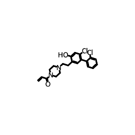 C=CC(=O)N1CCN(CCc2cc(-c3ccccc3Cl)c(Cl)cc2O)CC1